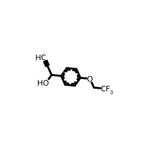 C#CC(O)c1ccc(OCC(F)(F)F)cc1